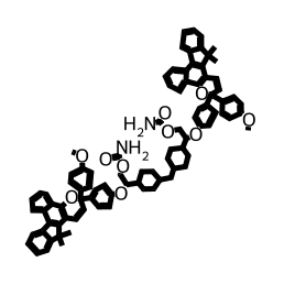 COc1ccc(C2(c3ccc(OC(COC(N)=O)C4CCC(CC5CCC(C(COC(N)=O)Oc6ccc(C7(c8ccc(OC)cc8)C=Cc8c9c(c%10ccccc%10c8O7)-c7ccccc7C9(C)C)cc6)CC5)CC4)cc3)C=Cc3c4c(c5ccccc5c3O2)-c2ccccc2C4(C)C)cc1